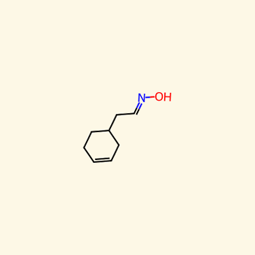 O/N=C/CC1CC=CCC1